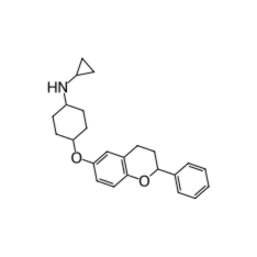 c1ccc(C2CCc3cc(OC4CCC(NC5CC5)CC4)ccc3O2)cc1